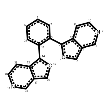 c1ccc(-c2occ3cnccc23)c(-c2occ3cnccc23)c1